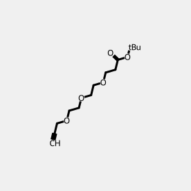 C#CCOCCOCCOCCC(=O)OC(C)(C)C